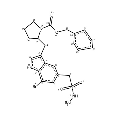 CC(C)(C)NS(=O)(=O)Cc1cc(Br)c2[nH]cc(CC3CCCN3C(=O)OCc3ccccc3)c2c1